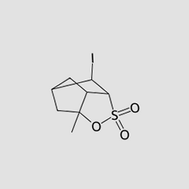 CC12CC3CC1C(C3I)S(=O)(=O)O2